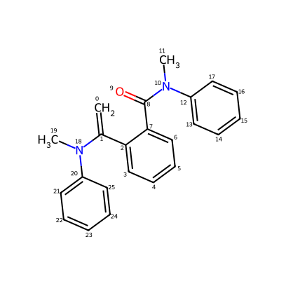 C=C(c1ccccc1C(=O)N(C)c1ccccc1)N(C)c1ccccc1